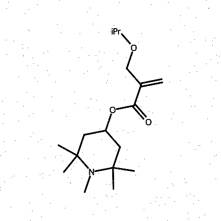 C=C(COC(C)C)C(=O)OC1CC(C)(C)N(C)C(C)(C)C1